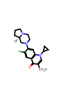 O=C(O)c1cn(C2CC2)c2cc(N3CCN4CCC[C@@H]4C3)c(F)cc2c1=O